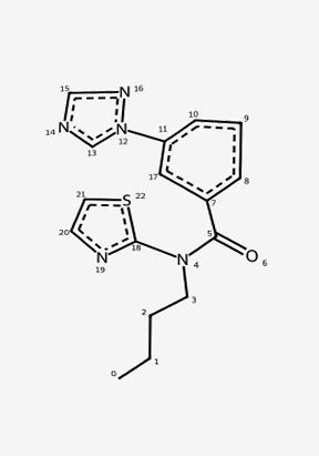 CCCCN(C(=O)c1cccc(-n2cncn2)c1)c1nccs1